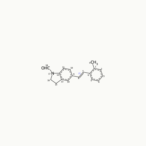 Cc1ccccc1/C=C/c1ccc2c(c1)CCN2C=O